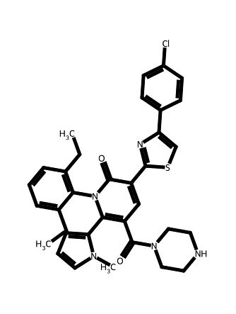 CCc1cccc(CC)c1-n1c(-c2cccn2C)c(C(=O)N2CCNCC2)cc(-c2nc(-c3ccc(Cl)cc3)cs2)c1=O